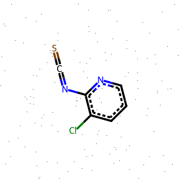 S=C=Nc1ncccc1Cl